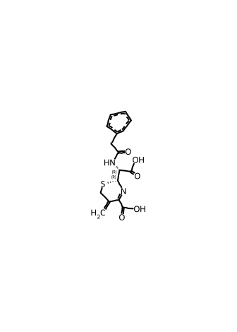 C=C1CS[C@H]([C@H](NC(=O)Cc2ccccc2)C(=O)O)N=C1C(=O)O